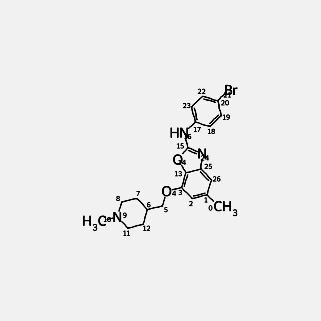 Cc1cc(OCC2CCN(C)CC2)c2oc(Nc3ccc(Br)cc3)nc2c1